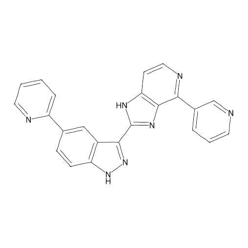 c1ccc(-c2ccc3[nH]nc(-c4nc5c(-c6cccnc6)nccc5[nH]4)c3c2)nc1